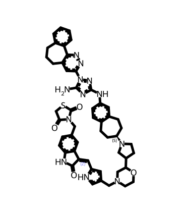 Nc1nc(Nc2ccc3c(c2)CC[C@@H](N2CCC(C4CN(Cc5c[nH]c(/C=C6\C(=O)Nc7ccc(CN8C(=O)CSC8=O)cc76)c5)CCO4)C2)CC3)nn1-c1cc2c(nn1)-c1ccccc1CCC2